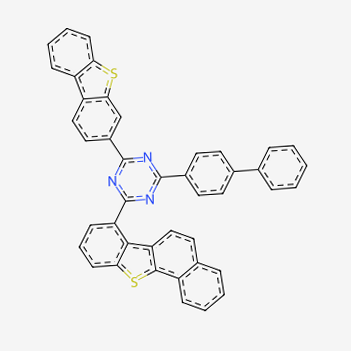 c1ccc(-c2ccc(-c3nc(-c4ccc5c(c4)sc4ccccc45)nc(-c4cccc5sc6c7ccccc7ccc6c45)n3)cc2)cc1